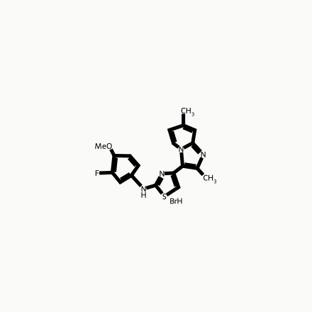 Br.COc1ccc(Nc2nc(-c3c(C)nc4cc(C)ccn34)cs2)cc1F